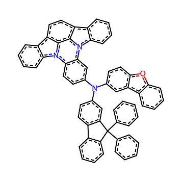 c1ccc(C2(c3ccccc3)c3ccccc3-c3ccc(N(c4ccc5oc6ccccc6c5c4)c4ccc5c(c4)n4c6ccccc6c6ccc7c8ccccc8n5c7c64)cc32)cc1